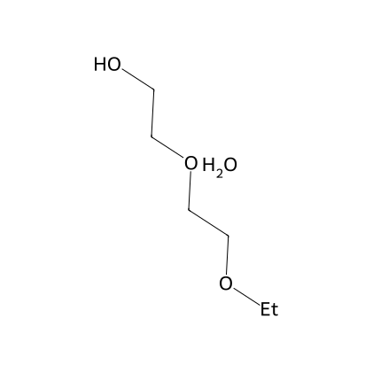 CCOCCOCCO.O